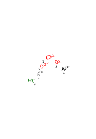 Cl.[Al+3].[Al+3].[O-2].[O-2].[O-2]